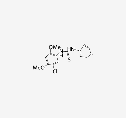 COc1cc(OC)c(NC(=S)NC2=CC[CH]C=C2)cc1Cl